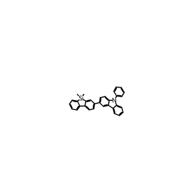 C[Si]1(C)c2ccccc2-c2ccc(-c3ccc4c(c3)c3ccccc3n4-c3ccccc3)cc21